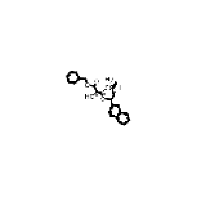 CC=CCC(O[C@@H](C(=O)O)[C@@H](O)C(=O)OCc1ccccc1)c1ccc2ccccc2c1